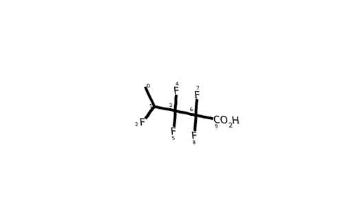 CC(F)C(F)(F)C(F)(F)C(=O)O